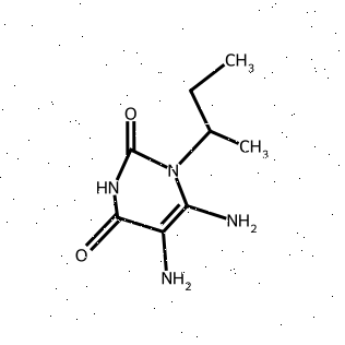 CCC(C)n1c(N)c(N)c(=O)[nH]c1=O